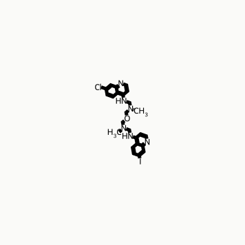 CN(CNc1ccnc2cc(Cl)ccc12)COCN(C)CNc1ccnc2cc(I)ccc12